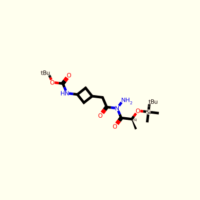 C[C@H](O[Si](C)(C)C(C)(C)C)C(=O)N(N)C(=O)CC1CC(NC(=O)OC(C)(C)C)C1